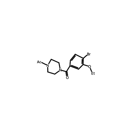 CCOc1cc(C(=O)N2CCN(C(C)=O)CC2)ccc1Br